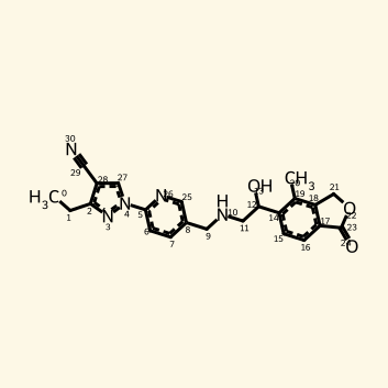 CCc1nn(-c2ccc(CNCC(O)c3ccc4c(c3C)COC4=O)cn2)cc1C#N